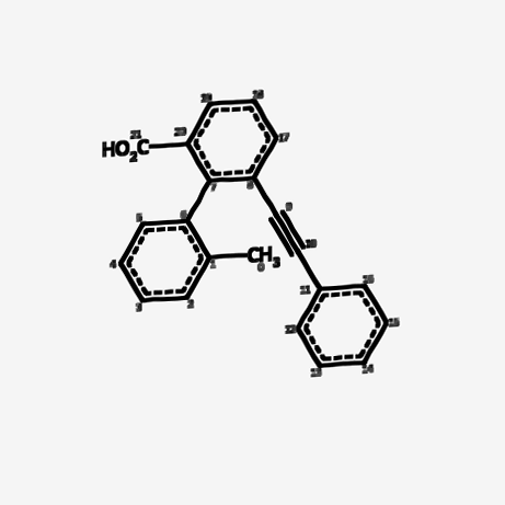 Cc1ccccc1-c1c(C#Cc2ccccc2)cccc1C(=O)O